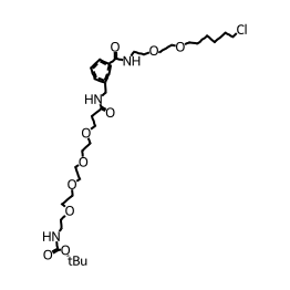 CC(C)(C)OC(=O)NCCOCCOCCOCCOCCC(=O)NCc1cccc(C(=O)NCCOCCOCCCCCCCl)c1